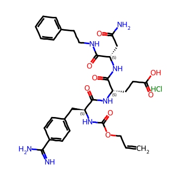 C=CCOC(=O)N[C@@H](Cc1ccc(C(=N)N)cc1)C(=O)N[C@@H](CCC(=O)O)C(=O)N[C@@H](CC(N)=O)C(=O)NCCc1ccccc1.Cl